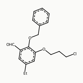 CCc1cc(C=O)c(OCc2ccccc2)c(OCCCCl)c1